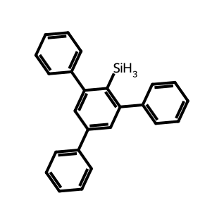 [SiH3]c1c(-c2ccccc2)cc(-c2ccccc2)cc1-c1ccccc1